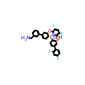 NCc1cccc(-c2cccc(Oc3nc(Oc4cc(-c5ccc(F)cc5F)ccc4C(=O)O)c(F)cc3F)c2)c1